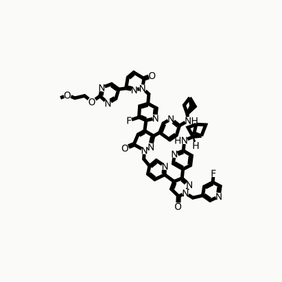 COCCOc1ncc(-c2ccc(=O)n(Cc3cnc(-c4cc(=O)n(Cc5ccc(-c6cc(=O)n(Cc7cncc(F)c7)nc6-c6ccc(N[C@@H]7CC8CC7C8)nc6)nc5)nc4-c4ccc(NC56CC(C5)C6)nc4)c(F)c3)n2)cn1